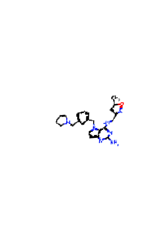 Cc1cc(CNc2nc(N)nc3ccn(Cc4cccc(CN5CCCC5)c4)c23)no1